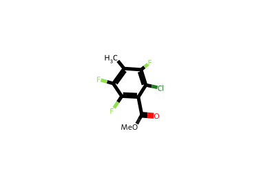 COC(=O)c1c(F)c(F)c(C)c(F)c1Cl